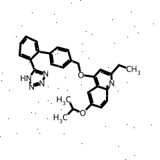 CCc1cc(OCc2ccc(-c3ccccc3-c3nnn[nH]3)cc2)c2cc(OC(C)C)ccc2n1